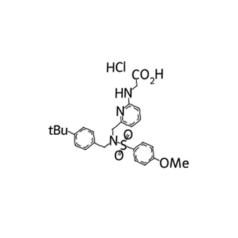 COc1ccc(S(=O)(=O)N(Cc2ccc(C(C)(C)C)cc2)Cc2cccc(NCC(=O)O)n2)cc1.Cl